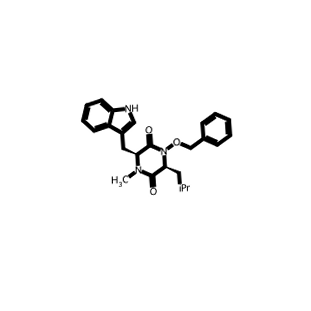 CC(C)C[C@H]1C(=O)N(C)[C@@H](Cc2c[nH]c3ccccc23)C(=O)N1OCc1ccccc1